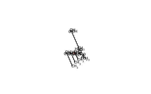 CCCCCCC(O)C(=O)O.CCCCCCCCC(O)C(=O)O.CCCCCCCCCCCCCCCCC(O)C(=O)O.CCCCCCCCCCCC[C@H](O)C(=O)O.CCN(CC)C(=O)[C@@H]1C=C2c3cccc4[nH]cc(c34)C[C@H]2N(C)C1